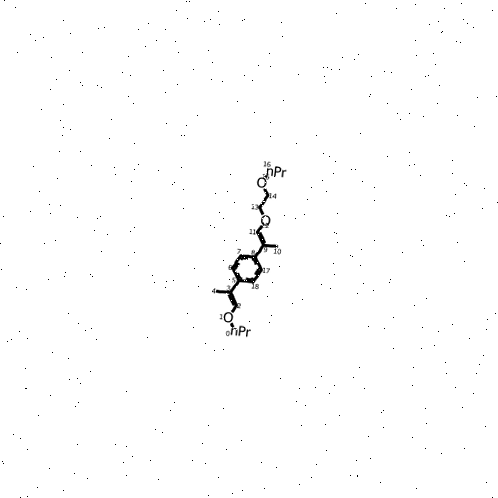 CCCOC=C(C)c1ccc(C(C)=COCCOCCC)cc1